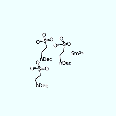 CCCCCCCCCCCCS(=O)(=O)[O-].CCCCCCCCCCCCS(=O)(=O)[O-].CCCCCCCCCCCCS(=O)(=O)[O-].[Sm+3]